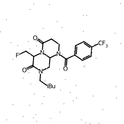 CCC(C)CN1CC2N(C(=O)c3ccc(C(F)(F)F)cc3)CCC(=O)N2C(CF)C1=O